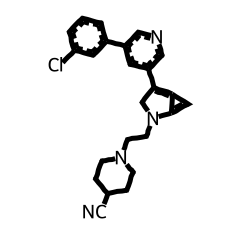 N#CC1CCN(CCN2CC(c3cncc(-c4cccc(Cl)c4)c3)=C3C=C32)CC1